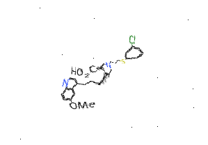 COc1ccc2nccc(CCC[C@@H]3CCN(CCCSc4cccc(Cl)c4)C[C@@H]3C(=O)O)c2c1